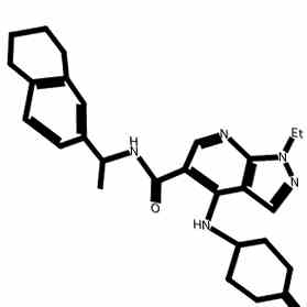 CCn1ncc2c(NC3CCC(=O)CC3)c(C(=O)NC(C)c3ccc4c(c3)CCCC4)cnc21